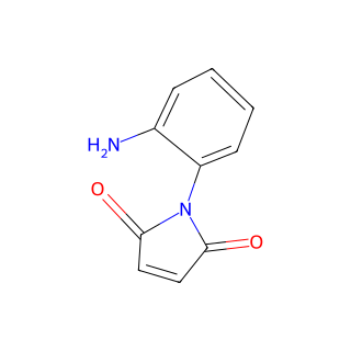 Nc1ccccc1N1C(=O)C=CC1=O